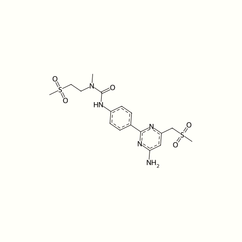 CN(CCS(C)(=O)=O)C(=O)Nc1ccc(-c2nc(N)cc(CS(C)(=O)=O)n2)cc1